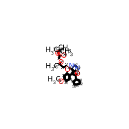 COc1ccc(-c2c(-c3ccccc3)oc3ncnc(OCCC(C)OCC(=O)OC(C)(C)C)c23)cc1